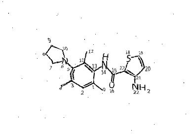 Cc1cc(C)c(N2CCCC2)c(C)c1NC(=O)c1sccc1N